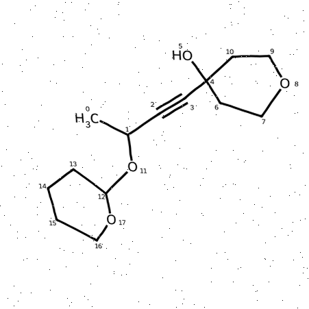 CC(C#CC1(O)CCOCC1)OC1CCCCO1